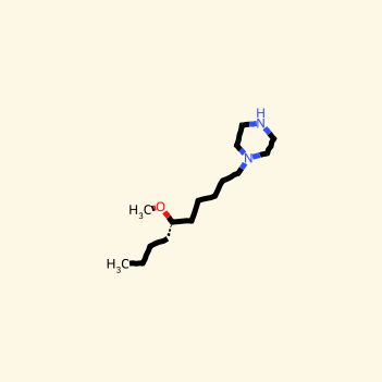 CCCC[C@@H](CCCCCN1CCNCC1)OC